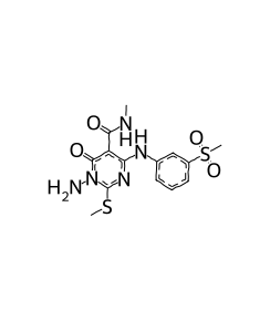 CNC(=O)c1c(Nc2cccc(S(C)(=O)=O)c2)nc(SC)n(N)c1=O